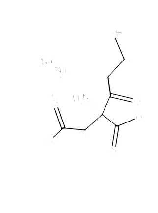 N[C@@](CC(=O)[O-])(C(=O)[O-])C(=O)CCS.[Na+].[Na+]